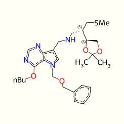 CCCCOc1ncnc2c(CNC[C@H](CSC)[C@H]3COC(C)(C)O3)cn(COCc3ccccc3)c12